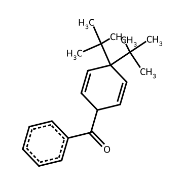 CC(C)(C)C1(C(C)(C)C)C=CC(C(=O)c2ccccc2)C=C1